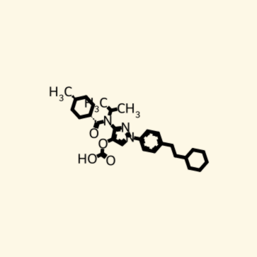 CC(C)N(c1nn(-c2ccc(CCC3CCCCC3)cc2)cc1OC(=O)O)C(=O)[C@H]1CC[C@H](C)CC1